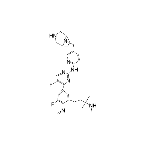 C=Nc1c(F)cc(-c2nc(Nc3ccc(CN4C5CCC4CNC5)cn3)ncc2F)cc1CCC(C)(C)NC